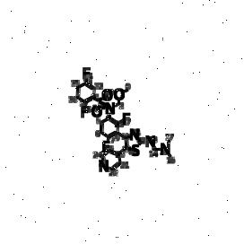 COCN(c1ccc(F)c(-c2nc(N=CN(C)C)sc2-c2ccncc2)c1F)S(=O)(=O)c1cc(F)ccc1F